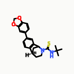 CC(C)(C)NC(=S)N1CC[C@@H]2CC1c1cc(-c3ccc4c(c3)OCO4)ccc12